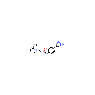 C[C@@H]1CCCN1CCc1cc2ccc(-c3cn[nH]c3)cc2o1